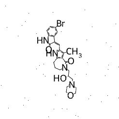 Cc1c(/C=C2\C(=O)Nc3ccc(Br)cc32)[nH]c2c1C(=O)N(C[C@@H](O)CN1CCOCC1)CCC2